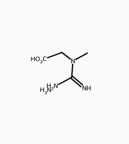 CN(CC(=O)O)C(=N)N.N